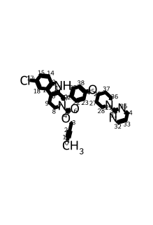 CC#CCOC(=O)N1CCc2c([nH]c3ccc(Cl)cc23)[C@@H]1c1ccc(OC2CCN(c3ncccn3)CC2)cc1